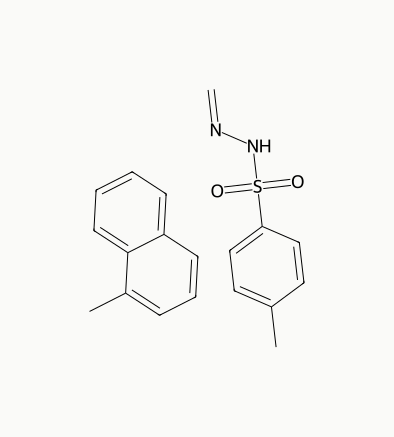 C=NNS(=O)(=O)c1ccc(C)cc1.Cc1cccc2ccccc12